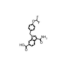 NC(=O)c1cn(Cc2ccc(OC(F)F)cc2)c2cc(C(=O)O)ccc12